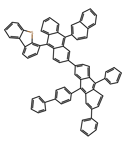 c1ccc(-c2ccc(-c3c4cc(-c5ccccc5)ccc4c(-c4ccccc4)c4ccc(-c5ccc6c(-c7cccc8c7sc7ccccc78)c7ccccc7c(-c7ccc8ccccc8c7)c6c5)cc34)cc2)cc1